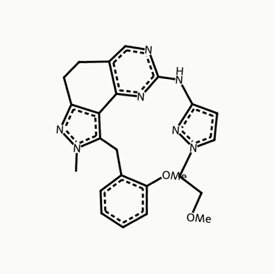 COCCn1ccc(Nc2ncc3c(n2)-c2c(nn(C)c2Cc2ccccc2OC)CC3)n1